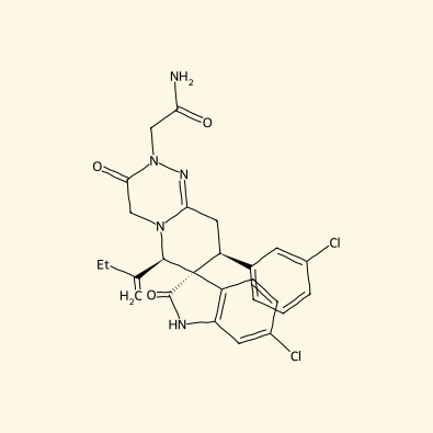 C=C(CC)[C@H]1N2CC(=O)N(CC(N)=O)N=C2C[C@@H](c2cccc(Cl)c2)[C@]12C(=O)Nc1cc(Cl)ccc12